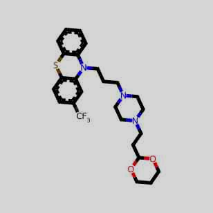 FC(F)(F)c1ccc2c(c1)N(CCCN1CCN(CCC3OCCCO3)CC1)c1ccccc1S2